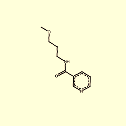 COCCCNC(=O)c1cccnc1